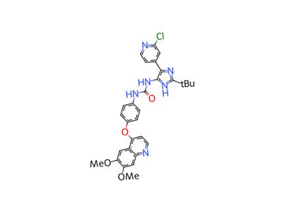 COc1cc2nccc(Oc3ccc(NC(=O)Nc4[nH]c(C(C)(C)C)nc4-c4ccnc(Cl)c4)cc3)c2cc1OC